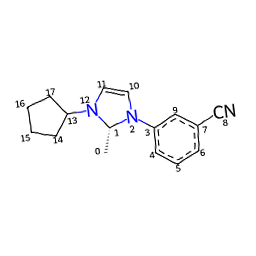 C[C@H]1N(c2cccc(C#N)c2)C=CN1C1CCCC1